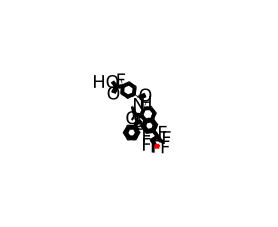 O=C([C@H]1CC[C@](F)(C(=O)O)CC1)N1CC[C@]2(S(=O)(=O)c3ccccc3)c3ccc(C(F)(C(F)(F)F)C(F)(F)F)cc3CC[C@H]12